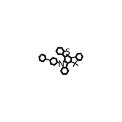 CC1(C)c2ccccc2-c2c1c1c3ccccc3n(-c3ccc(-c4ccccc4)cc3)c1c1c2sc2ccccc21